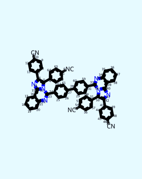 [C-]#[N+]c1ccc(-c2c(-c3ccc(C#N)cc3)nc3c4ccccc4nc(-c4ccc(-c5ccc(-c6nc7ccccc7c7nc(-c8ccc(C#N)cc8)c(-c8ccc(C#N)cc8)n67)cc5)cc4)n23)cc1